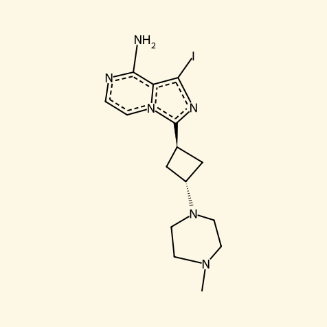 CN1CCN([C@H]2C[C@H](c3nc(I)c4c(N)nccn43)C2)CC1